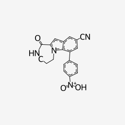 N#Cc1cc(-c2ccc([N+](=O)O)cc2)c2c(c1)cc1n2CCCNC1=O